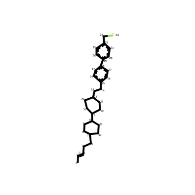 C/C=C/CCC1CCC(C2CCC(CCc3ccc(-c4ccc(CF)cc4)cc3)CC2)CC1